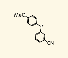 COc1ccc([I+]c2cccc(C#N)c2)cc1